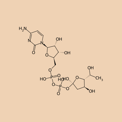 CC(O)[C@H]1O[C@](O)(OP(=O)(O)OP(=O)(O)OC[C@H]2O[C@@H](n3ccc(N)nc3=O)[C@H](O)[C@@H]2O)C[C@@H]1O